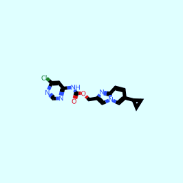 O=C(Nc1cc(Cl)ncn1)OCc1cn2cc(C3CC3)ccc2n1